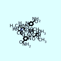 CCN/C(=C\C(C)=N)C(=O)Nc1nc2cc(C(N)=O)ccc2n1C[C@H]1OC(C)(C)O[C@@H]1Cn1c(NC(=O)c2cc(C)nn2CC)nc2cc(C(N)=O)cc(OCCCO)c21